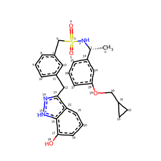 C[C@@H](NS(=O)(=O)Cc1cccc(Cc2n[nH]c3c(O)cccc23)c1)c1cccc(OCC2CC2)c1